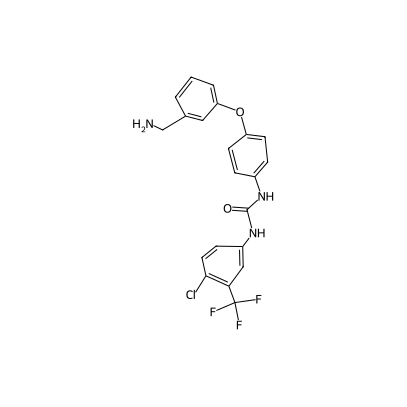 NCc1cccc(Oc2ccc(NC(=O)Nc3ccc(Cl)c(C(F)(F)F)c3)cc2)c1